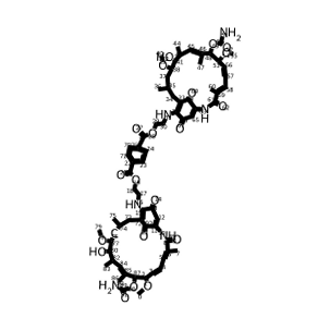 COC1/C=C\C=C(/C)C(=O)NC2=CC(=O)C(NCCOC(=O)c3ccc(C(=O)OCCNC4=C5CC(C)CC(OC)C(O)C(C)/C=C(\C)C(OC(N)=O)C(OC)/C=C\C=C(/C)C(=O)NC(=CC4=O)C5=O)cc3)=C(CC(C)CC(OC)C(O)C(C)/C=C(\C)C1OC(N)=O)C2=O